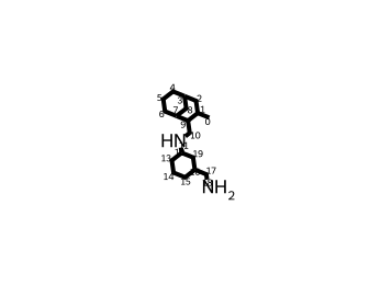 CC1CC2CCCC(C2)C1CNC1CCCC(CN)C1